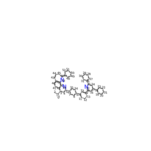 CC(C)c1cc(-c2ccc(C3=CCCC(c4cc(-c5ccccc5)cc(-c5ccccc5)n4)=C3)cc2)nc2c3c(ccc12)C=CCC(c1ccccc1)=N3